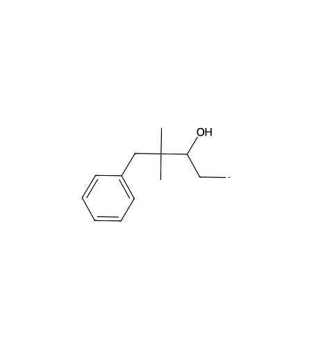 [CH2]CC(O)C(C)(C)Cc1ccccc1